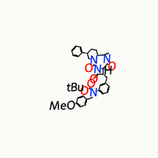 COc1ccc(CN(C(=O)OC(C)(C)C)c2cccc(C[C@H]3C(=O)N4C(=O)N5C[C@@H](c6ccccc6)CCC5C5CN5C(=O)[C@H]34)c2)cc1